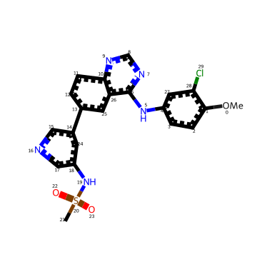 COc1ccc(Nc2ncnc3ccc(-c4cncc(NS(C)(=O)=O)c4)cc23)cc1Cl